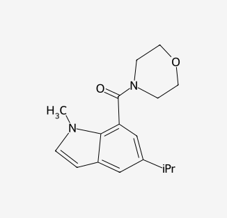 CC(C)c1cc(C(=O)N2CCOCC2)c2c(ccn2C)c1